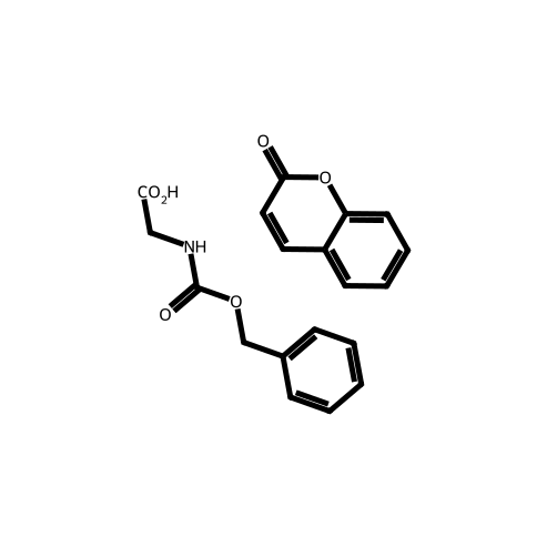 O=C(O)CNC(=O)OCc1ccccc1.O=c1ccc2ccccc2o1